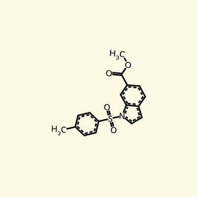 COC(=O)c1ccc2ccn(S(=O)(=O)c3ccc(C)cc3)c2c1